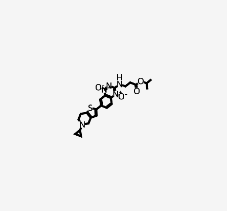 CC(C)OC(=O)CCNc1n[n+]([O-])c2cc(-c3cc4c(s3)CCN(C3CC3)C4)ccc2[n+]1[O-]